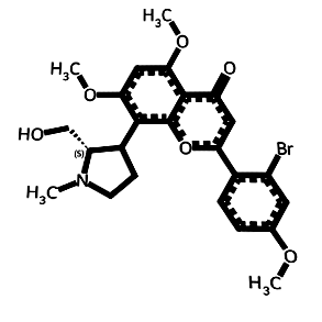 COc1ccc(-c2cc(=O)c3c(OC)cc(OC)c(C4CCN(C)[C@@H]4CO)c3o2)c(Br)c1